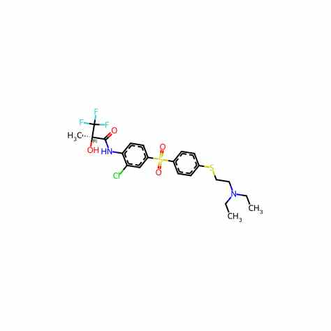 CCN(CC)CCSc1ccc(S(=O)(=O)c2ccc(NC(=O)[C@@](C)(O)C(F)(F)F)c(Cl)c2)cc1